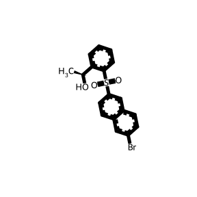 C[C@H](O)c1ccccc1S(=O)(=O)c1ccc2cc(Br)ccc2c1